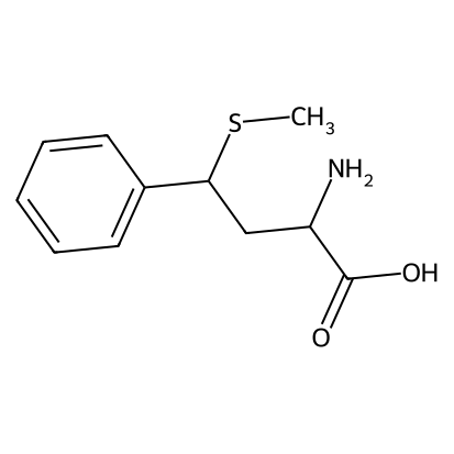 CSC(CC(N)C(=O)O)c1ccccc1